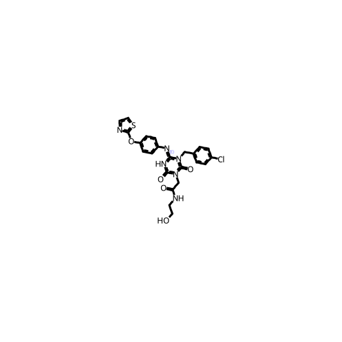 O=C(Cn1c(=O)[nH]/c(=N\c2ccc(Oc3nccs3)cc2)n(Cc2ccc(Cl)cc2)c1=O)NCCO